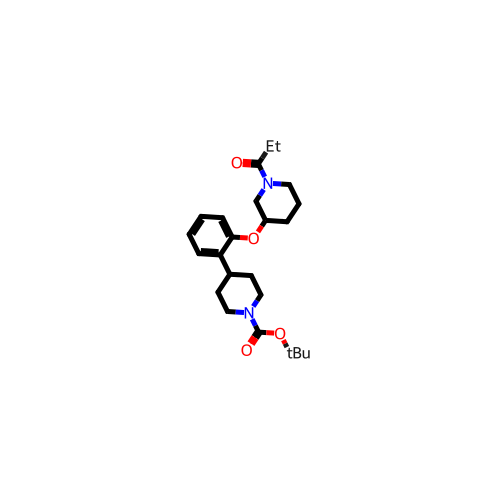 CCC(=O)N1CCCC(Oc2ccccc2C2CCN(C(=O)OC(C)(C)C)CC2)C1